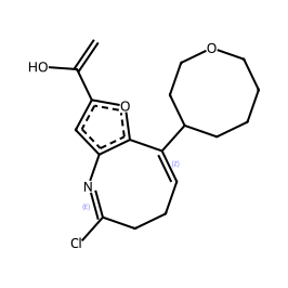 C=C(O)c1cc2c(o1)/C(C1CCCCOCC1)=C\CC/C(Cl)=N\2